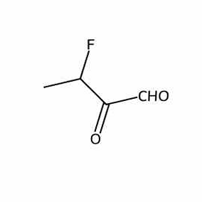 CC(F)C(=O)C=O